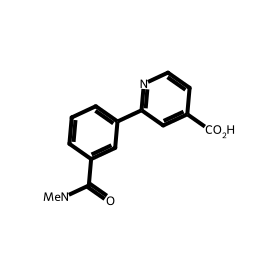 CNC(=O)c1cccc(-c2cc(C(=O)O)ccn2)c1